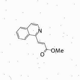 COC(=O)/C=C/c1nccc2ccccc12